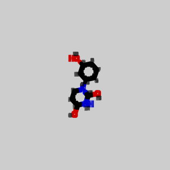 O=c1ccn(-c2cccc(O)c2)c(=O)[nH]1